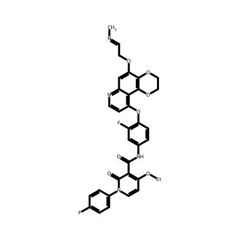 CCOc1ccn(-c2ccc(F)cc2)c(=O)c1C(=O)Nc1ccc(Oc2ccnc3cc(OC/C=N/C)c4c(c23)OCCO4)c(F)c1